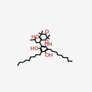 CCCCCCCCCc1c(O)c(CCCCCCCCC)c(O)c(C(CC(C)C)C2=C(O)C(C)(C)C(=O)C(C)(C)C2=O)c1O